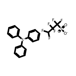 O=S(=O)([O-])C(F)(F)C(F)(F)C(F)F.c1ccc([S+](c2ccccc2)c2ccccc2)cc1